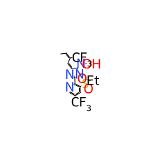 C\C=C(/C=C1/N=C(c2ncc(C(F)(F)F)cc2S(=O)(=O)CC)N(C)/C1=N\O)C(F)(F)F